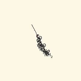 CCCCCCCCCCCCCCCC(=O)OCC(CSC[C@H](NC(=O)OC(C)(C)C)C(=O)NCCCn1c(COCC)nc2c(N)nc3ccccc3c21)OC(C)=O